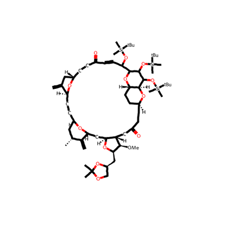 C=C1C[C@@H]2CCC(=O)/C=C/C(O[Si](C)(C)C(C)(C)C)C3O[C@H]4CC[C@H](CC(=O)C[C@@H]5[C@@H](OC)[C@@H](C[C@H]6COC(C)(C)O6)O[C@H]5C[C@H]5O[C@@H](CC[C@@H]1O2)C[C@@H](C)C5=C)O[C@@H]4C(O[Si](C)(C)C(C)(C)C)C3O[Si](C)(C)C(C)(C)C